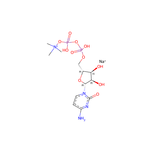 C[N+](C)(C)OP(=O)(O)OP(=O)(O)OC[C@H]1O[C@@H](n2ccc(N)nc2=O)[C@H](O)[C@@H]1O.[Na+]